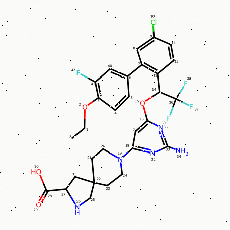 CCOc1ccc(-c2cc(Cl)ccc2C(Oc2cc(N3CCC4(CC3)CNC(C(=O)O)C4)nc(N)n2)C(F)(F)F)cc1F